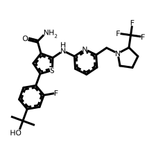 CC(C)(O)c1ccc(-c2cc(C(N)=O)c(Nc3cccc(CN4CCCC4C(F)(F)F)n3)s2)c(F)c1